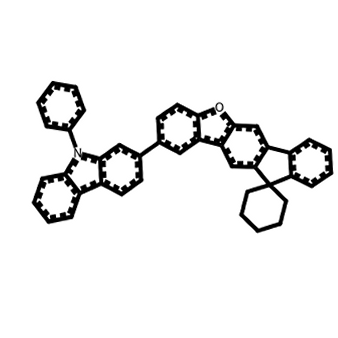 c1ccc(-n2c3ccccc3c3ccc(-c4ccc5oc6cc7c(cc6c5c4)C4(CCCCC4)c4ccccc4-7)cc32)cc1